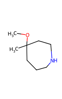 COC1(C)CCCNCC1